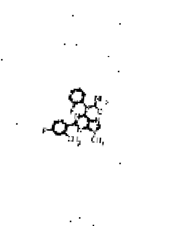 Cc1cc(F)ccc1-c1nc(N(C(N)=O)c2ccccc2F)c2ncn(C)c2n1